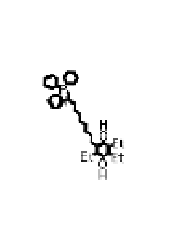 CCc1c(O)c(CC)c(CCCCCCCCCC[PH](c2ccccc2)(c2ccccc2)c2ccccc2)c(O)c1CC